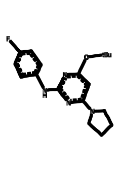 CC(C)(C)Oc1cc(N2CCCC2)nc(Nc2ccc(F)cc2)n1